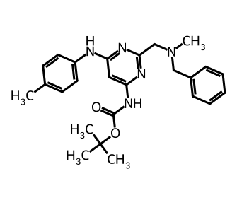 Cc1ccc(Nc2cc(NC(=O)OC(C)(C)C)nc(CN(C)Cc3ccccc3)n2)cc1